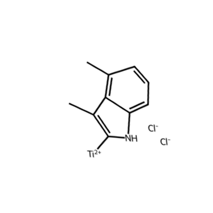 Cc1cccc2[nH][c]([Ti+2])c(C)c12.[Cl-].[Cl-]